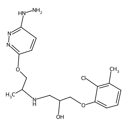 Cc1cccc(OCC(O)CNC(C)COc2ccc(NN)nn2)c1Cl